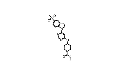 CSC(=O)N1CCC(Oc2cc(N3CCc4cc(S(C)(=O)=O)ccc43)ncn2)CC1